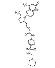 C[C@@H]1CC[C@H](CCOC(=O)Nc2ccc(S(=O)(=O)NCC3CCCCC3)cc2)N1c1ccc2[nH]c(=O)cc(C(F)(F)F)c2c1